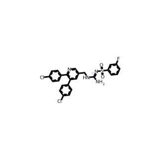 N/C(=N\S(=O)(=O)c1cccc(F)c1)NCc1cnc(-c2ccc(Cl)cc2)c(-c2ccc(Cl)cc2)c1